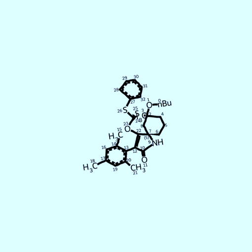 CCCCO[C@@]1(C)CCC[C@@]2(C1)NC(=O)C(c1c(C)cc(C)cc1C)=C2OC(=S)Sc1ccccc1